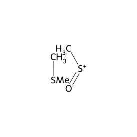 CSC.C[S+]=O